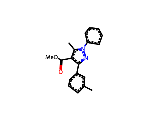 COC(=O)c1c(-c2cccc(C)c2)nn(-c2ccccc2)c1C